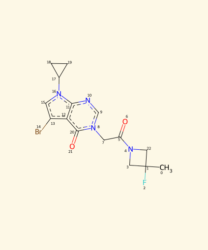 CC1(F)CN(C(=O)Cn2cnc3c(c(Br)cn3C3CC3)c2=O)C1